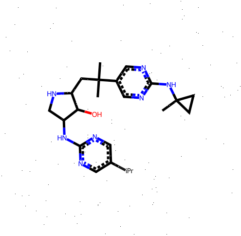 CC(C)c1cnc(NC2CNC(CC(C)(C)c3cnc(NC4(C)CC4)nc3)C2O)nc1